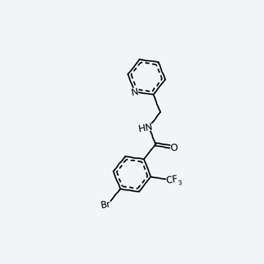 O=C(NCc1ccccn1)c1ccc(Br)cc1C(F)(F)F